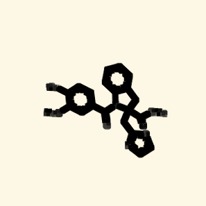 COC(=O)C1(Cc2ncco2)Cc2ccccc2N1C(=O)c1ccc(C(C)(C)C)c(OC)c1